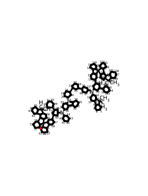 CC1(C)c2ccccc2-c2ccc(N(c3ccc(-c4cccc(-c5cccc(-n6c7ccccc7c7cc(N(c8ccccc8)c8cc(-c9ccccc9)cc(-c9ccc%10c(c9)C9(c%11ccccc%11-%10)c%10ccccc%10-c%10c9ccc9c%10-c%10ccccc%10C9(C)C)c8)ccc76)c5)c4)cc3)c3cc(-c4ccccc4)cc(-c4ccc5c(c4)C4(c6ccccc6-5)c5ccccc5-c5c4ccc4c5-c5ccccc5C4(C)C)c3)cc21